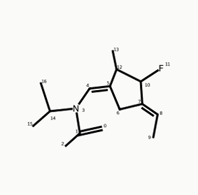 C=C(C)N(/C=C1\C/C(=C\C)C(F)C1C)C(C)C